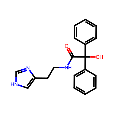 O=C(NCCc1c[nH]cn1)C(O)(c1ccccc1)c1ccccc1